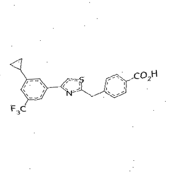 O=C(O)c1ccc(Cc2nc(-c3cc(C4CC4)cc(C(F)(F)F)c3)cs2)cc1